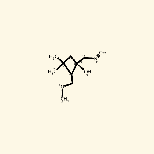 COCC1C(C)(C)C[C@]1(O)CN=O